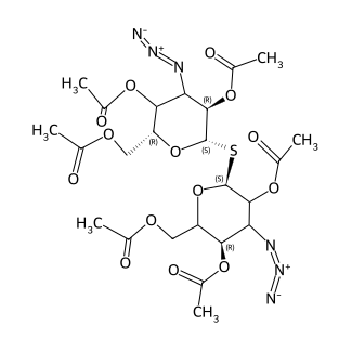 CC(=O)OCC1O[C@@H](S[C@@H]2O[C@H](COC(C)=O)C(OC(C)=O)C(N=[N+]=[N-])[C@H]2OC(C)=O)C(OC(C)=O)C(N=[N+]=[N-])[C@H]1OC(C)=O